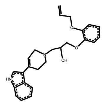 C=CCOc1ccccc1OCC(O)CN1CC=C(c2c[nH]c3ccccc23)CC1